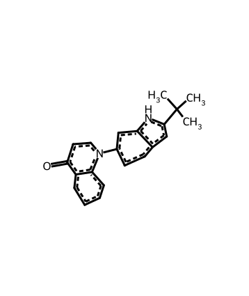 CC(C)(C)c1cc2ccc(-n3ccc(=O)c4ccccc43)cc2[nH]1